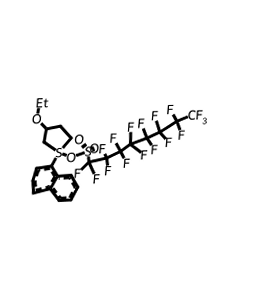 CCOC1CCS(OS(=O)(=O)C(F)(F)C(F)(F)C(F)(F)C(F)(F)C(F)(F)C(F)(F)C(F)(F)C(F)(F)F)(c2cccc3ccccc23)C1